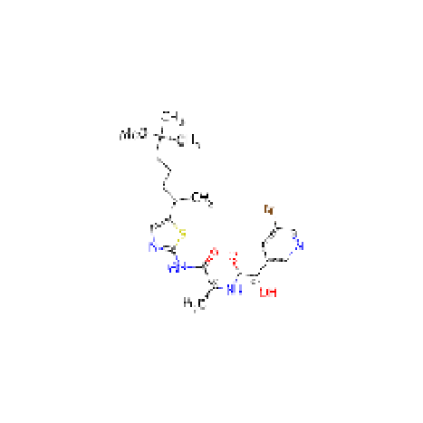 COC(C)(C)CCCC(C)c1cnc(NC(=O)[C@H](C)NC(=O)[C@@H](O)c2cncc(Br)c2)s1